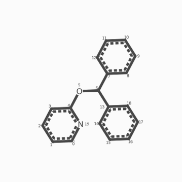 [c]1cccc(OC(c2ccccc2)c2ccccc2)n1